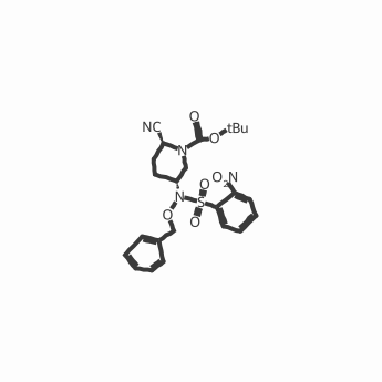 CC(C)(C)OC(=O)N1C[C@H](N(OCc2ccccc2)S(=O)(=O)c2ccccc2[N+](=O)[O-])CC[C@H]1C#N